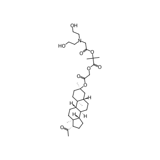 CC(=O)[C@H]1CC[C@H]2[C@@H]3CC[C@H]4C[C@](C)(OC(=O)COC(=O)C(C)(C)OC(=O)CN(CCO)CCO)CC[C@]4(C)[C@H]3CC[C@]12C